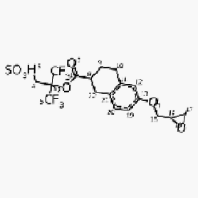 O=C(OC(CS(=O)(=O)O)(C(F)(F)F)C(F)(F)F)C1CCc2cc(OCC3CO3)ccc2C1